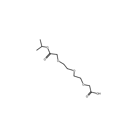 CC(C)OC(=O)COCCOCCOCC(=O)O